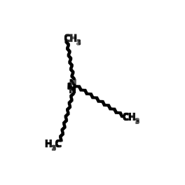 CCCCCCCCCCCCCCCCCC1N(CCCCCCCCCCCCC)C=CN1CCCCCCCCCCCCCCCC